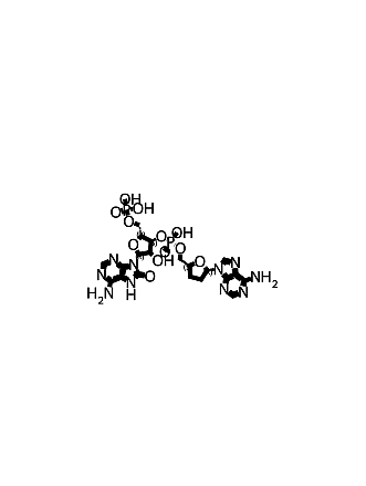 Nc1ncnc2c1ncn2[C@H]1CC[C@@H](COP(=O)(O)O[C@H]2C(O)[C@H](n3c(=O)[nH]c4c(N)ncnc43)O[C@@H]2COP(=O)(O)O)O1